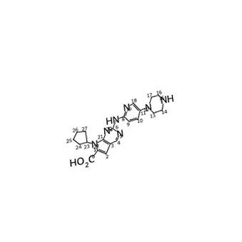 O=C(O)c1cc2cnc(Nc3ccc(N4CCNCC4)cn3)nc2n1C1CCCC1